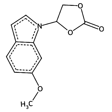 COc1ccc2ccn(C3COC(=O)O3)c2c1